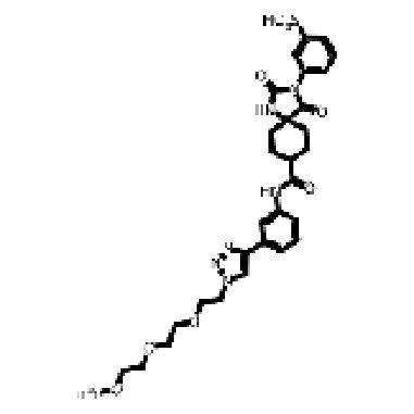 CCCOCCOCCOCCn1cc(-c2cccc(NC(=O)C3CCC4(CC3)NC(=O)N(c3cccc(S(=O)(=O)O)c3)C4=O)c2)nn1